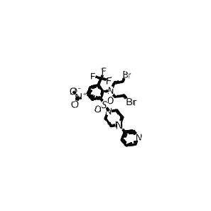 O=[N+]([O-])c1cc(C(F)(F)F)c(N(CCBr)CCBr)c(S(=O)(=O)N2CCN(c3cccnc3)CC2)c1